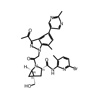 CC(=O)c1nn(CC(=O)N2[C@H](C(=O)Nc3nc(Br)ccc3C)C[C@@]3(CO)C[C@@H]23)c2c(C)cc(-c3cnc(C)nc3)cc12